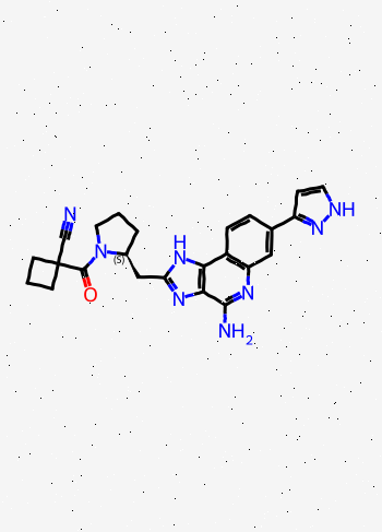 N#CC1(C(=O)N2CCC[C@H]2Cc2nc3c(N)nc4cc(-c5cc[nH]n5)ccc4c3[nH]2)CCC1